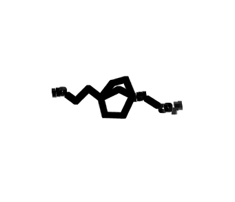 O=C(O)NC12CCC(CCO)(CC1)C2